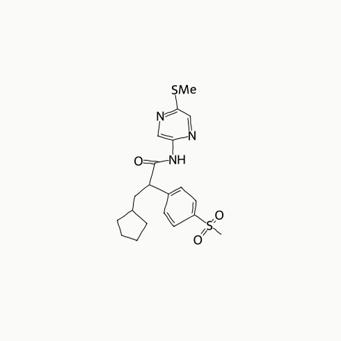 CSc1cnc(NC(=O)C(CC2CCCC2)c2ccc(S(C)(=O)=O)cc2)cn1